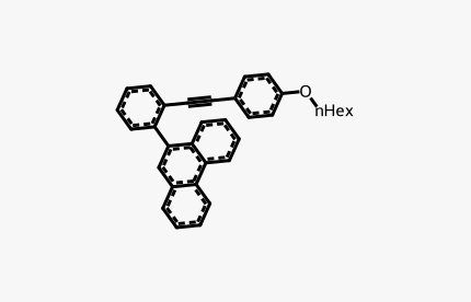 CCCCCCOc1ccc(C#Cc2ccccc2-c2cc3ccccc3c3ccccc23)cc1